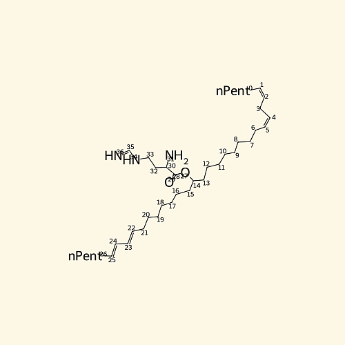 CCCCC/C=C\C/C=C\CCCCCCCCC(CCCCCCC/C=C/C=C/CCCCC)OC(=O)C(N)CCNC=N